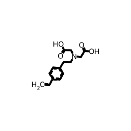 C=Cc1ccc(CCN(CC(=O)O)CC(=O)O)cc1